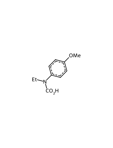 CCN(C(=O)O)c1ccc(OC)cc1